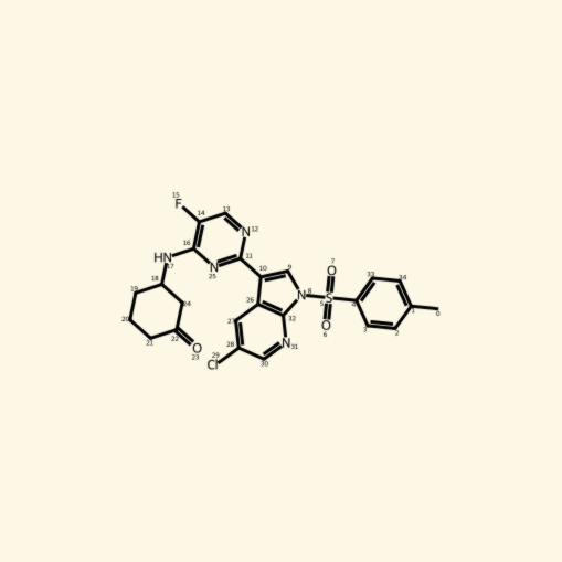 Cc1ccc(S(=O)(=O)n2cc(-c3ncc(F)c(NC4CCCC(=O)C4)n3)c3cc(Cl)cnc32)cc1